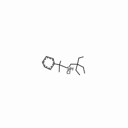 CCC(CC)(CC)C[SiH](Cl)C(C)(C)c1ccccc1